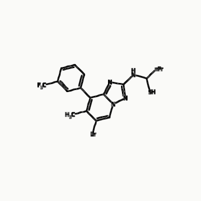 CCCC(S)Nc1nc2c(-c3cccc(C(F)(F)F)c3)c(C)c(Br)cn2n1